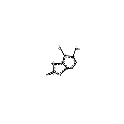 CC(C)(C)c1ccc2oc(=O)[nH]c2c1Cl